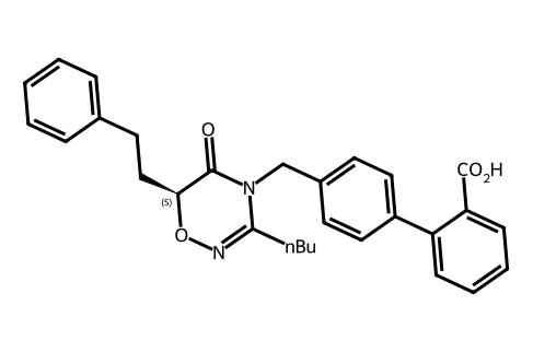 CCCCC1=NO[C@@H](CCc2ccccc2)C(=O)N1Cc1ccc(-c2ccccc2C(=O)O)cc1